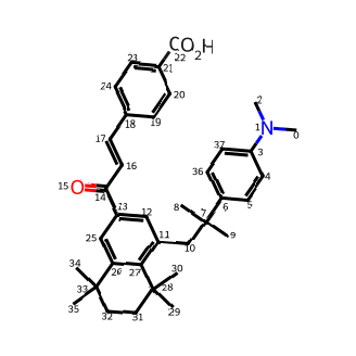 CN(C)c1ccc(C(C)(C)Cc2cc(C(=O)/C=C/c3ccc(C(=O)O)cc3)cc3c2C(C)(C)CCC3(C)C)cc1